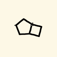 [CH]1CC2CCN2C1